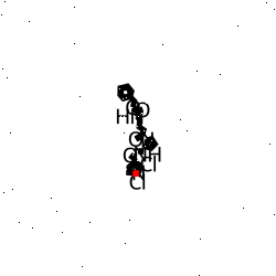 O=C(NCCCC(=O)N1CCC[C@@H]1CNC(=O)c1ccc(Cl)nc1Cl)OCc1ccccc1